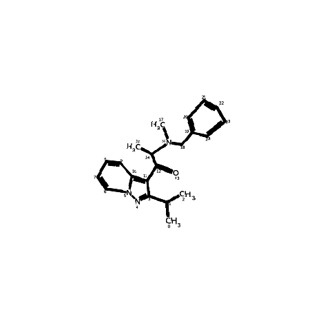 CC(C)c1nn2ccccc2c1C(=O)C(C)N(C)Cc1ccccc1